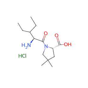 CCC(CC)[C@H](N)C(=O)N1CC(C)(C)C[C@H]1C(=O)O.Cl